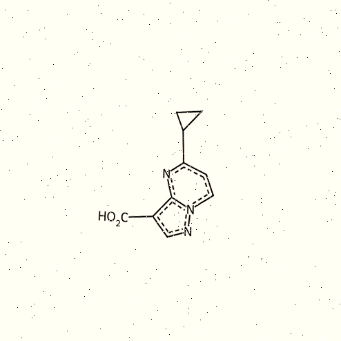 O=C(O)c1cnn2ccc(C3CC3)nc12